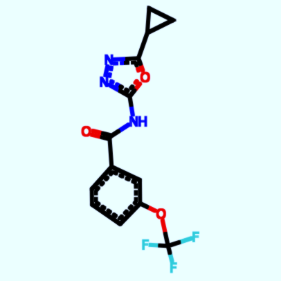 O=C(Nc1nnc(C2CC2)o1)c1cccc(OC(F)(F)F)c1